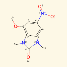 COc1cc([N+](=O)[O-])cc2c1n(C)c(=O)n2C